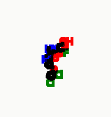 CC[C@@H](C(=O)NC(CC(=O)O)C(=O)CF)n1cnc2ccc(Oc3ccc(Cl)cc3Cl)cc2c1=O